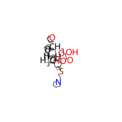 C[C@]12CC[C@H]3[C@@H](CC=C4C[C@@H](SCCN5CCCC5)CC[C@@]43C)[C@@H]1CC[C@@H]2c1ccoc1.O=C(O)C(=O)O